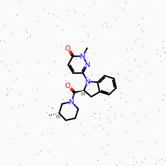 C[C@H]1CCCN(C(=O)[C@@H]2Cc3ccccc3N2c2ccc(=O)n(C)n2)C1